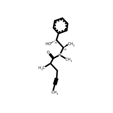 CC#CCC(C)C(=O)N(C)[C@H](C)[C@H](O)c1ccccc1